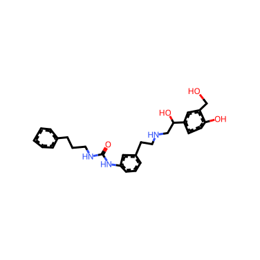 O=C(NCCCc1ccccc1)Nc1cccc(CCNCC(O)c2ccc(O)c(CO)c2)c1